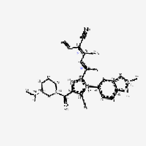 C=C/C(C#N)=C(F)\C=C(/C)c1nc(C(=O)N2CCC[C@@H](NC)C2)c(C)n1-c1ccc2nn(C)cc2c1